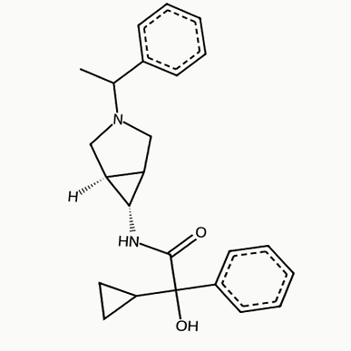 CC(c1ccccc1)N1CC2[C@H](C1)[C@H]2NC(=O)C(O)(c1ccccc1)C1CC1